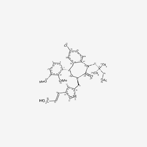 COc1cccc([C@H]2O[C@H](Cc3ncc(C=CC(=O)O)s3)C(=O)N(CC(C)(C)COC(C)=O)c3ccc(Cl)cc32)c1OC